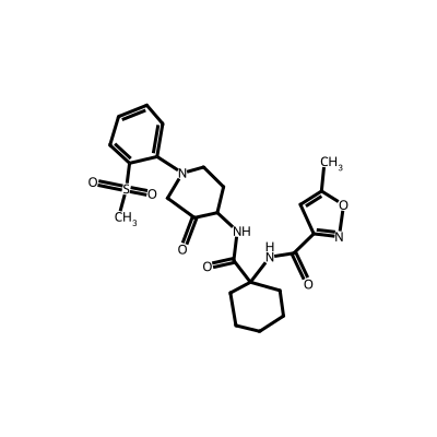 Cc1cc(C(=O)NC2(C(=O)NC3CCN(c4ccccc4S(C)(=O)=O)CC3=O)CCCCC2)no1